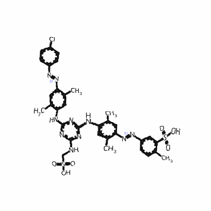 Cc1cc(Nc2nc(NCS(=O)(=O)O)nc(Nc3cc(C)c(/N=N/c4ccc(C)c(S(=O)(=O)O)c4)cc3C)n2)c(C)cc1/N=N/c1ccc(Cl)cc1